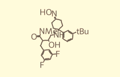 CNC(=O)C(Cc1cc(F)cc(F)c1)C(O)CNC1(c2cccc(C(C)(C)C)c2)CCC(=NO)CC1